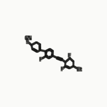 CCC1C=C(F)C(C#Cc2ccc(C3=CCC(SC#N)C=C3)c(F)c2)C(F)C1